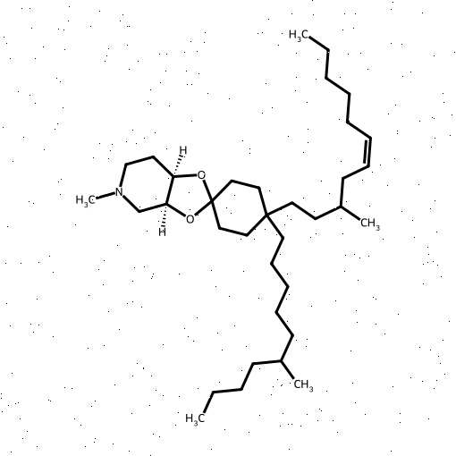 CCCCC/C=C\CC(C)CCC1(CCCCCC(C)CCCC)CCC2(CC1)O[C@H]1CN(C)CC[C@H]1O2